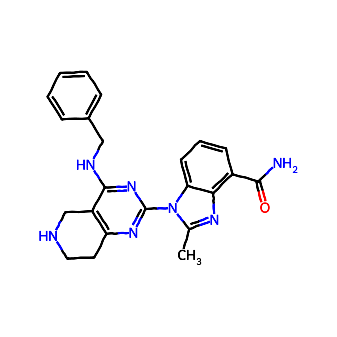 Cc1nc2c(C(N)=O)cccc2n1-c1nc2c(c(NCc3ccccc3)n1)CNCC2